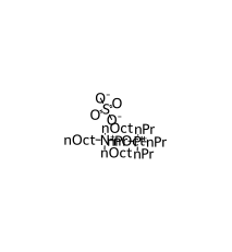 CCCCCCCC[N+](CCCCCCCC)(CCCCCCCC)CCCCCCCC.CCC[P+](CCC)(CCC)CCC.O=S(=O)([O-])[O-]